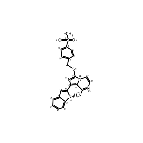 CS(=O)(=O)c1ccc(CSc2nc(-c3cc4ccccc4[nH]3)c3c(N)nccn23)cc1